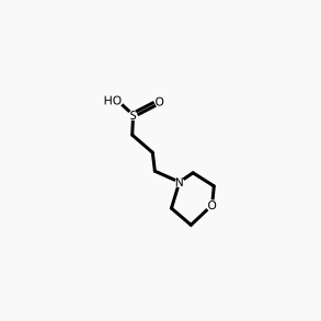 O=S(O)CCCN1CCOCC1